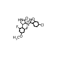 COc1cc(F)c(C2CNC(=O)[C@H]2Nc2noc3cc(Cl)ccc23)c(F)c1